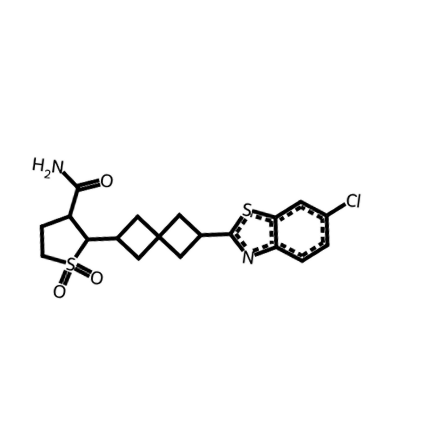 NC(=O)C1CCS(=O)(=O)C1C1CC2(CC(c3nc4ccc(Cl)cc4s3)C2)C1